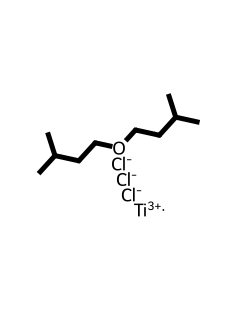 CC(C)CCOCCC(C)C.[Cl-].[Cl-].[Cl-].[Ti+3]